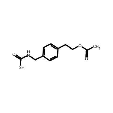 CC(=O)OCCc1ccc(CNC(=O)S)cc1